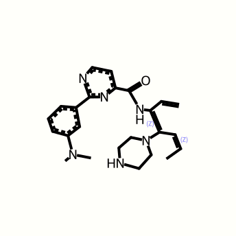 C=C/C(NC(=O)c1ccnc(-c2cccc(N(C)C)c2)n1)=C(\C=C/C)N1CCNCC1